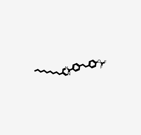 CCCCCCCCCc1cnc(-c2ccc(CCc3ccc(OC(F)F)cc3)cc2)nc1